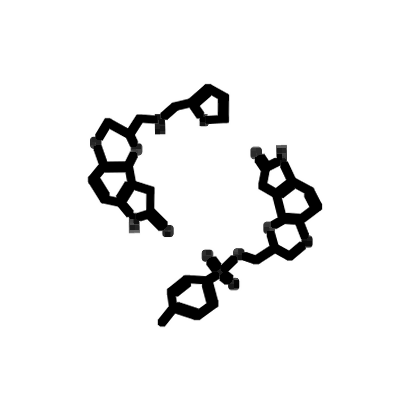 Cc1ccc(S(=O)(=O)OCC2COc3ccc4c(c3O2)CC(=O)N4)cc1.O=C1Cc2c(ccc3c2OC(CNCc2cccs2)CO3)N1